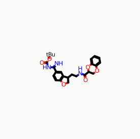 CC(C)(C)OC(=O)NC(=N)c1ccc2c(c1)C(CCNC(=O)C1COc3ccccc3O1)CO2